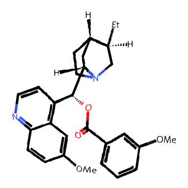 CC[C@H]1CN2CC[C@H]1C[C@H]2[C@H](OC(=O)c1cccc(OC)c1)c1ccnc2ccc(OC)cc12